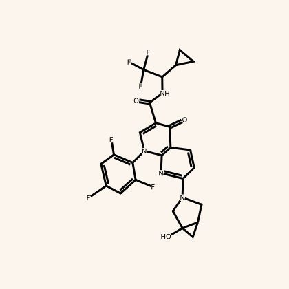 O=C(NC(C1CC1)C(F)(F)F)c1cn(-c2c(F)cc(F)cc2F)c2nc(N3CC4CC4(O)C3)ccc2c1=O